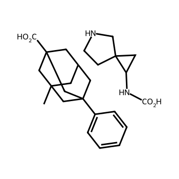 CC12CC3CC(C(=O)O)(C1)CC(c1ccccc1)(C3)C2.O=C(O)NC1CC12CCNC2